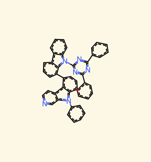 c1ccc(-c2nc(-c3ccccc3)nc(-n3c4ccccc4c4cccc(-c5cccc6c5c5ccncc5n6-c5ccccc5)c43)n2)cc1